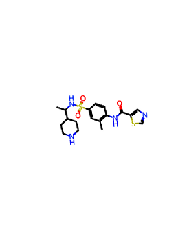 Cc1cc(S(=O)(=O)NC(C)C2CCNCC2)ccc1NC(=O)c1cncs1